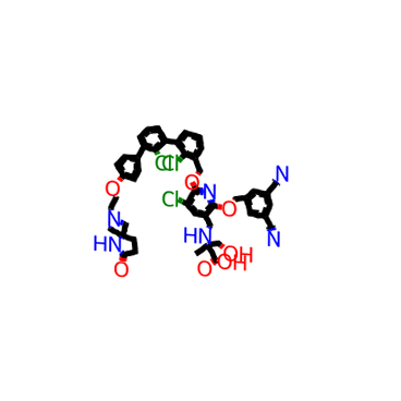 CC(CO)(NCc1cc(Cl)c(OCc2cccc(-c3cccc(-c4ccc(OCCN5CC6(CCC(=O)N6)C5)cc4)c3Cl)c2Cl)nc1OCc1cc(C#N)cc(C#N)c1)C(=O)O